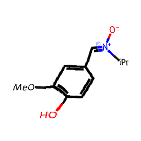 COc1cc(/C=[N+](/[O-])C(C)C)ccc1O